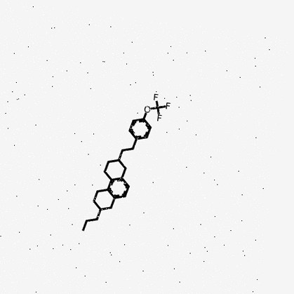 CCCC1CCc2c(ccc3c2CCC(CCc2ccc(OC(F)(F)F)cc2)C3)C1